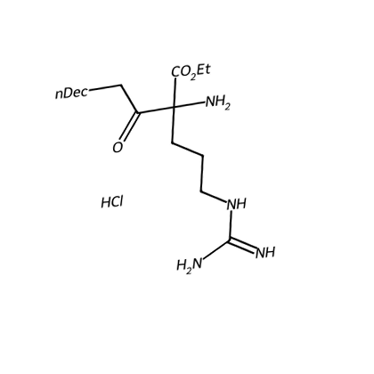 CCCCCCCCCCCC(=O)C(N)(CCCNC(=N)N)C(=O)OCC.Cl